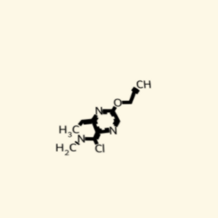 C#CCOc1cnc(=C(\Cl)N=C)/c(=C\C)n1